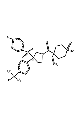 C=CC1(C(=O)N2CC[C@](c3ccc(C(F)(C(F)(F)F)C(F)(F)F)cc3)(S(=O)(=O)c3ccc(F)cc3)C2)CCS(=O)(=O)CC1